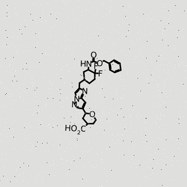 O=C(NC1CC(Cc2cn3ncc(C4CC(C(=O)O)CCO4)cc3n2)CCC1(F)F)OCc1ccccc1